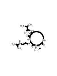 C=C(N)NCCC[C@@H]1NC(=O)[C@@](C)(NC(=O)C(C)C)CCCCCNC(=O)[C@H](CC)NC1=O